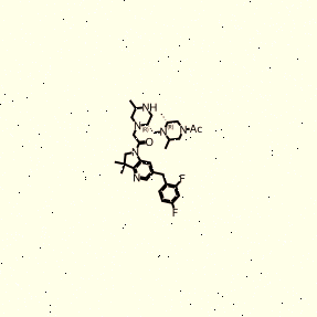 CC(=O)N1CC(C)N(C[C@H]2CNC(C)CN2CC(=O)N2CC(C)(C)c3ncc(Cc4ccc(F)cc4F)cc32)[C@H](C)C1